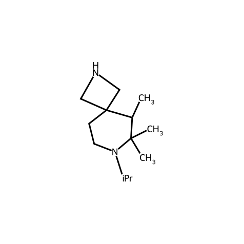 CC(C)N1CCC2(CNC2)C(C)C1(C)C